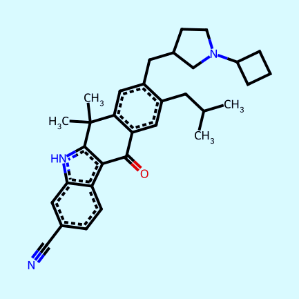 CC(C)Cc1cc2c(cc1CC1CCN(C3CCC3)C1)C(C)(C)c1[nH]c3cc(C#N)ccc3c1C2=O